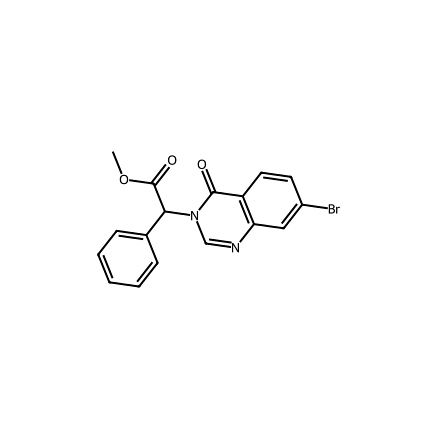 COC(=O)C(c1ccccc1)n1cnc2cc(Br)ccc2c1=O